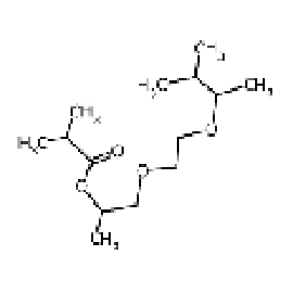 CC(COCCOC(C)C(C)C)OC(=O)C(C)C